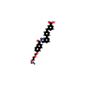 COCCOCOc1ccc2cc(C(=O)N(C)Cc3cccc(-c4ccc(Cc5cccc(C(=O)O)c5)cc4)c3)ccc2c1